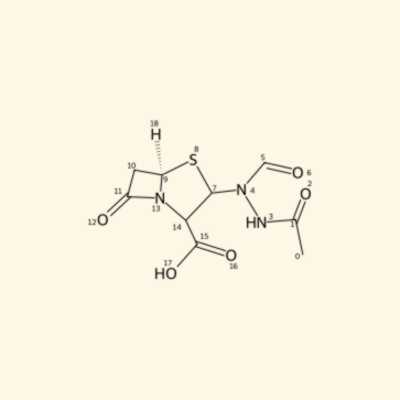 CC(=O)NN(C=O)C1S[C@@H]2CC(=O)N2C1C(=O)O